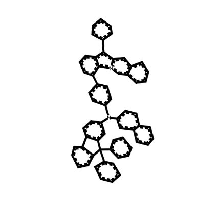 c1ccc(-c2c3cccc(-c4ccc(N(c5ccc6c(c5)C(c5ccccc5)(c5ccccc5)c5ccccc5-6)c5ccc6ccccc6c5)cc4)c3n3cc4ccccc4cc23)cc1